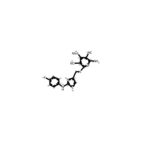 [C-]#[N+]c1c(N)nc(SCc2csc(Nc3ccc(F)cc3)n2)c(C#N)c1SC